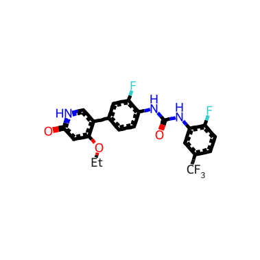 CCOc1cc(=O)[nH]cc1-c1ccc(NC(=O)Nc2cc(C(F)(F)F)ccc2F)c(F)c1